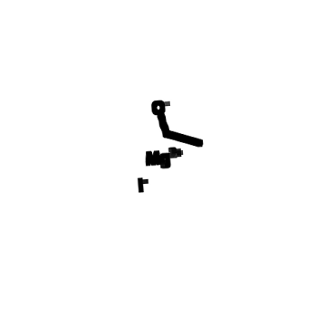 CC[O-].[I-].[Mg+2]